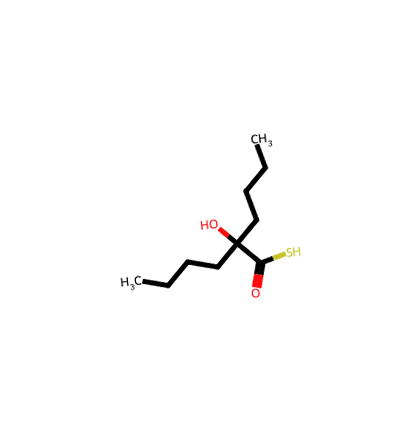 CCCCC(O)(CCCC)C(=O)S